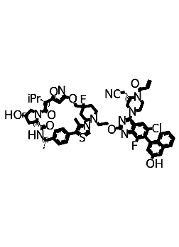 C=CC(=O)N1CCN(c2nc(OCCN3CCC(F)(COc4cc([C@H](C(=O)N5C[C@H](O)C[C@H]5C(=O)N[C@@H](C)c5ccc(-c6scnc6C)cc5)C(C)C)on4)CC3)nc3c(F)c(-c4cc(O)cc5ccccc45)c(Cl)cc23)C[C@@H]1CC#N